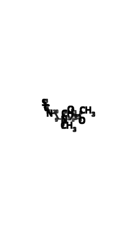 CC(=O)C(=O)C[N+](C)(C)CCN=C=S